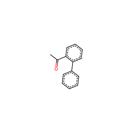 CC(=O)c1ccc[c]c1-c1ccccc1